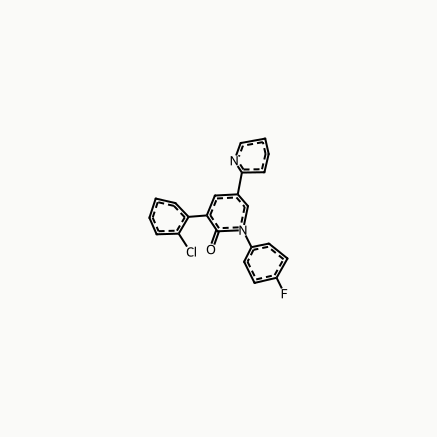 O=c1c(-c2ccccc2Cl)cc(-c2ccccn2)cn1-c1ccc(F)cc1